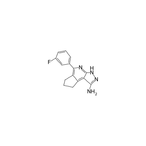 Nc1n[nH]c2nc(-c3cccc(F)c3)c3c(c12)CCC3